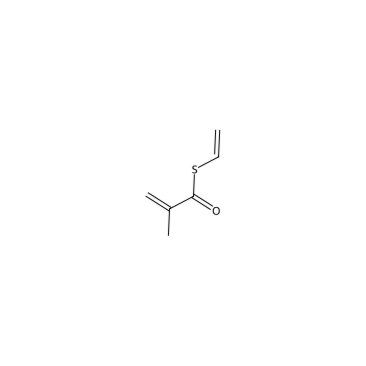 C=CSC(=O)C(=C)C